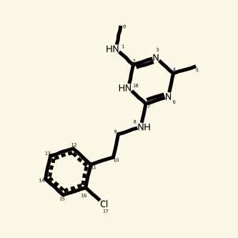 CNC1=NC(C)N=C(NCCc2ccccc2Cl)N1